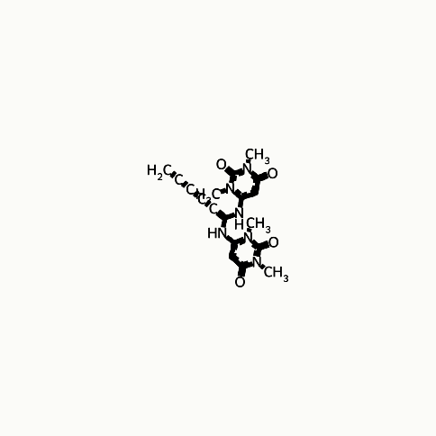 C=C=C=C=C=C(Nc1cc(=O)n(C)c(=O)n1C)Nc1cc(=O)n(C)c(=O)n1C